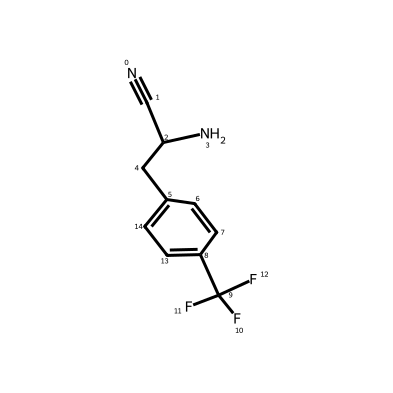 N#CC(N)Cc1ccc(C(F)(F)F)cc1